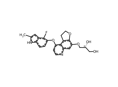 Cc1cc2c(F)c(Oc3ccnc4cc(OC[C@H](O)CO)c5c(c34)CCO5)ccc2[nH]1